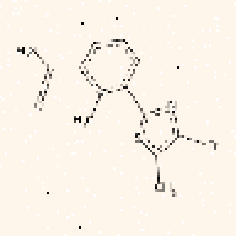 CCc1nc(-c2cccc(C(N)=O)c2C)sc1C